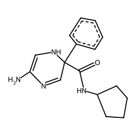 NC1=CNC(C(=O)NC2CCCC2)(c2ccccc2)C=N1